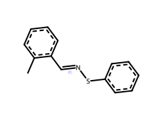 Cc1ccccc1/C=N/Sc1ccccc1